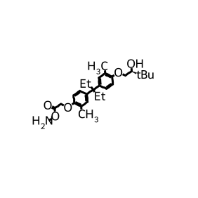 CCC(CC)(c1ccc(OCC(=O)ON)c(C)c1)c1ccc(OC[C@@H](O)C(C)(C)C)c(C)c1